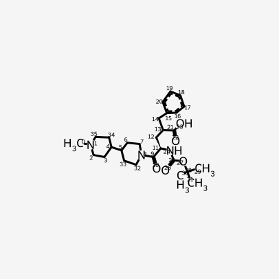 CN1CCC(C2CCN(C(=O)[C@@H](CC(Cc3ccccc3)C(=O)O)NC(=O)OC(C)(C)C)CC2)CC1